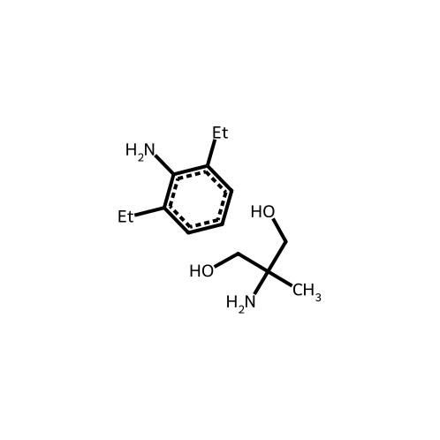 CC(N)(CO)CO.CCc1cccc(CC)c1N